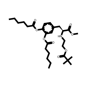 CCCCCC(=O)Oc1ccc(C[C@H](NCCOC(=O)C(C)(C)C)C(=O)OC)cc1OC(=O)CCCCC